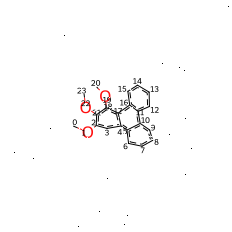 COc1cc2c3ccccc3c3ccccc3c2c(OC)c1OC